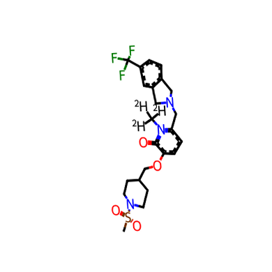 [2H]C([2H])([2H])n1c(CN2Cc3ccc(C(F)(F)F)cc3C2)ccc(OCC2CCN(S(C)(=O)=O)CC2)c1=O